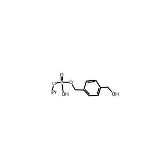 CC(C)OP(=O)(O)OCc1ccc(CO)cc1